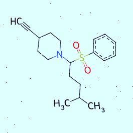 C#CC1CCN(C(CCC(C)C)S(=O)(=O)c2ccccc2)CC1